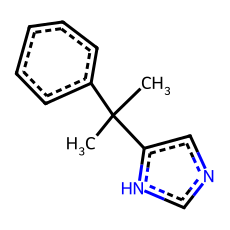 CC(C)(c1ccccc1)c1cnc[nH]1